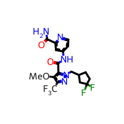 COc1c(C(F)(F)F)nn(CC2CCC(F)(F)C2)c1C(=O)Nc1ccnc(C(N)=O)c1